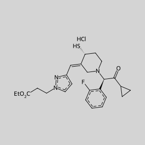 CCOC(=O)CCn1ccc(/C=C2\CN([C@@H](C(=O)C3CC3)c3ccccc3F)CC[C@H]2S)n1.Cl